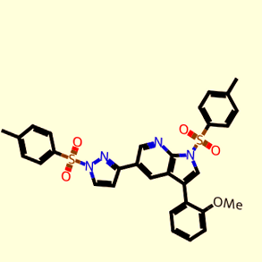 COc1ccccc1-c1cn(S(=O)(=O)c2ccc(C)cc2)c2ncc(-c3ccn(S(=O)(=O)c4ccc(C)cc4)n3)cc12